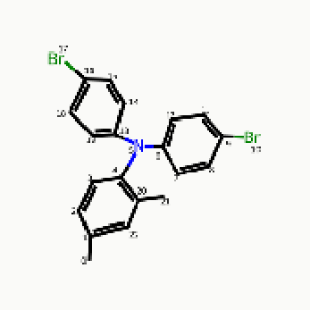 Cc1ccc(N(c2ccc(Br)cc2)c2ccc(Br)cc2)c(C)c1